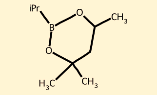 CC1CC(C)(C)OB(C(C)C)O1